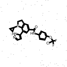 O=C(Nc1ccc(OC(F)(F)Cl)cc1)c1cc2c(c(-c3ccn[nH]3)c1)N(C1CC1)CC2